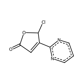 O=C1C=C(c2ncccn2)C(Cl)O1